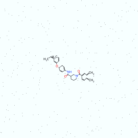 C=C/C=C\C(=C/C=C)C(=O)N1CCCC(C(=O)NC2=CC[C@@H](OC(/C=C\C)=C/C=C\C)C=C2)C1